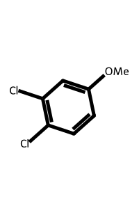 [CH2-][OH+]c1ccc(Cl)c(Cl)c1